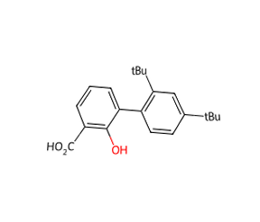 CC(C)(C)c1ccc(-c2cccc(C(=O)O)c2O)c(C(C)(C)C)c1